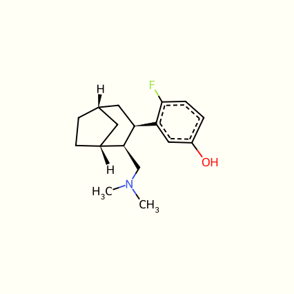 CN(C)C[C@H]1[C@@H]2CC[C@@H](C2)C[C@H]1c1cc(O)ccc1F